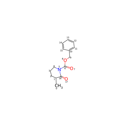 CC1CCCN(C(=O)OCc2ccccc2)C1=O